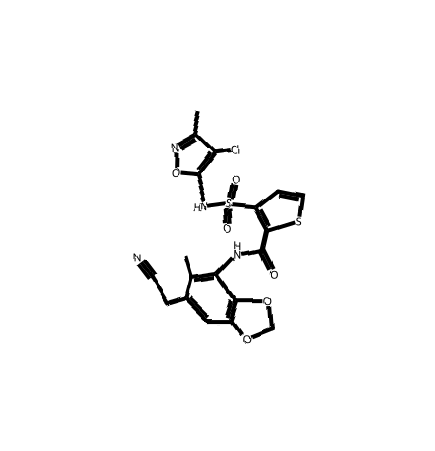 Cc1noc(NS(=O)(=O)c2ccsc2C(=O)Nc2c(C)c(CC#N)cc3c2OCO3)c1Cl